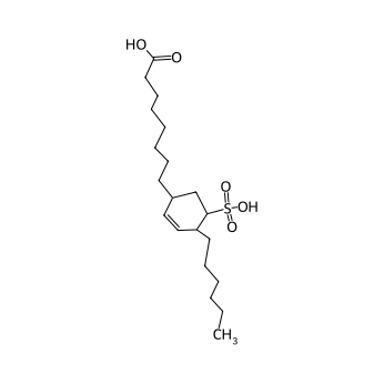 CCCCCCC1C=CC(CCCCCCCC(=O)O)CC1S(=O)(=O)O